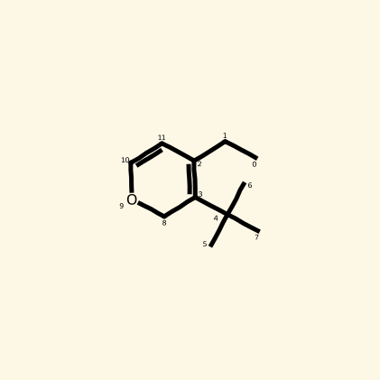 CCC1=C(C(C)(C)C)COC=C1